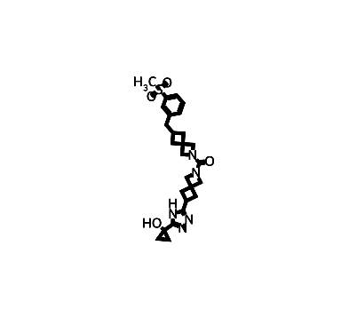 CS(=O)(=O)c1cccc(CC2CC3(C2)CN(C(=O)N2CC4(CC(c5nnc(C6(O)CC6)[nH]5)C4)C2)C3)c1